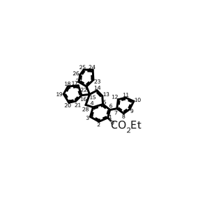 CCOC(=O)c1ccc2c(c1-c1ccccc1)C=CC(c1ccccc1)(c1ccccc1)C2